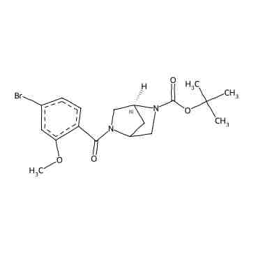 COc1cc(Br)ccc1C(=O)N1C[C@@H]2CC1CN2C(=O)OC(C)(C)C